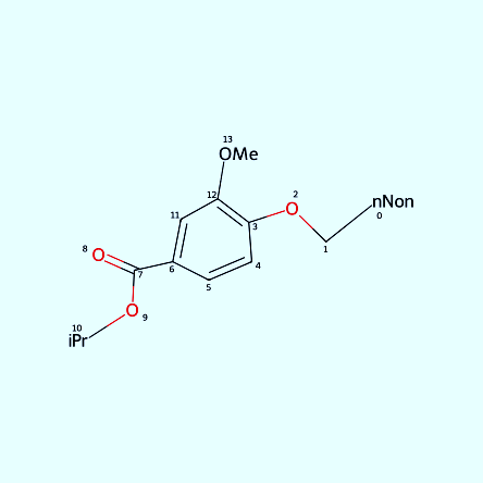 CCCCCCCCCCOc1ccc(C(=O)OC(C)C)cc1OC